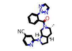 C[C@@H]1C[C@H]2CCN(c3cc(C#N)ccn3)[C@H]2CN1C(=O)c1ccccc1-n1nccn1